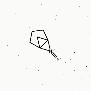 [N-]=[N+]1C23CCCC12C3